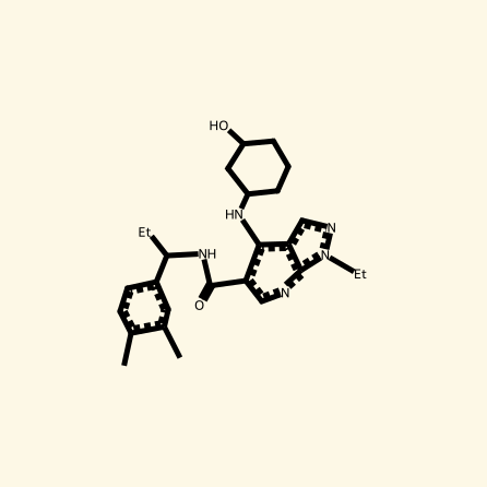 CCC(NC(=O)c1cnc2c(cnn2CC)c1NC1CCCC(O)C1)c1ccc(C)c(C)c1